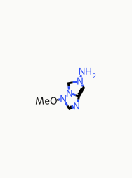 CON1C=NC2=CN(N)CN21